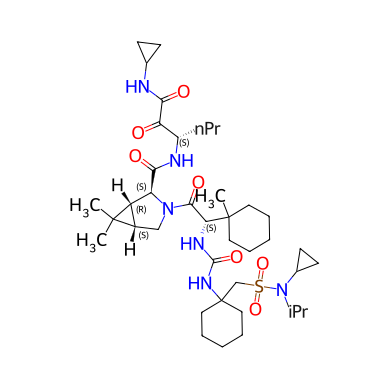 CCC[C@H](NC(=O)[C@@H]1[C@@H]2[C@H](CN1C(=O)[C@@H](NC(=O)NC1(CS(=O)(=O)N(C(C)C)C3CC3)CCCCC1)C1(C)CCCCC1)C2(C)C)C(=O)C(=O)NC1CC1